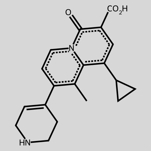 Cc1c(C2=CCNCC2)ccn2c(=O)c(C(=O)O)cc(C3CC3)c12